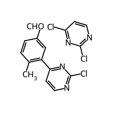 Cc1ccc(C=O)cc1-c1ccnc(Cl)n1.Clc1ccnc(Cl)n1